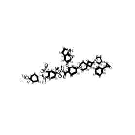 C[C@]1(O)CC[C@H](CNc2ncc(S(=O)(=O)NC(=O)c3ccc(N4CCC5(CC4)CC(N4CCC[C@H]4c4ccccc4C4CC4)C5)cc3Oc3cnc4[nH]ccc4c3)cc2[N+](=O)[O-])CC1